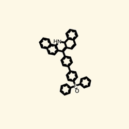 O=P(c1ccccc1)(c1ccccc1)c1ccc(-c2ccc(C3=C4C=Cc5ccccc5C4Nc4c3ccc3ccccc43)cc2)cc1